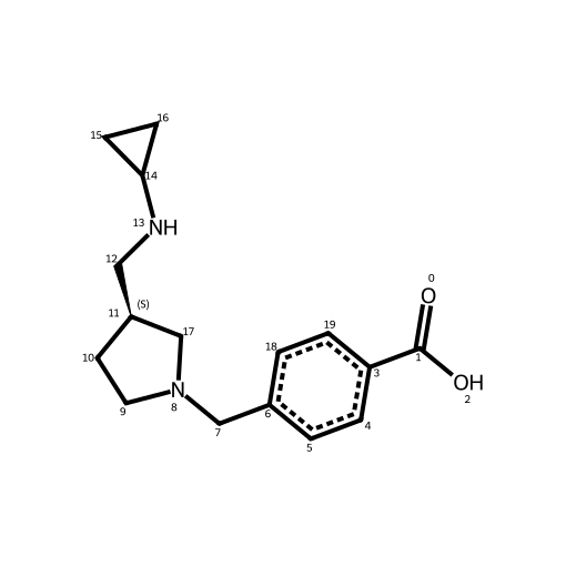 O=C(O)c1ccc(CN2CC[C@@H](CNC3CC3)C2)cc1